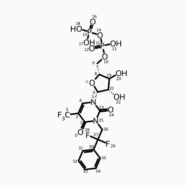 O=c1c(C(F)(F)F)cn([C@@H]2O[C@H](COP(=O)(O)OP(=O)(O)O)C(O)[C@@H]2O)c(=O)n1CC(F)(F)c1ccccc1